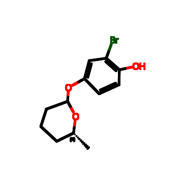 C[C@@H]1CCCC(Oc2ccc(O)c(Br)c2)O1